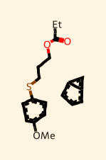 CCC(=O)OCCCSc1ccc(OC)cc1.c1cc2cc-2c1